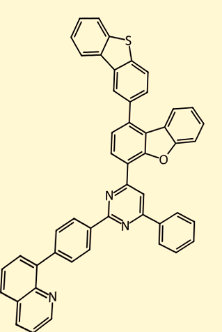 c1ccc(-c2cc(-c3ccc(-c4ccc5sc6ccccc6c5c4)c4c3oc3ccccc34)nc(-c3ccc(-c4cccc5cccnc45)cc3)n2)cc1